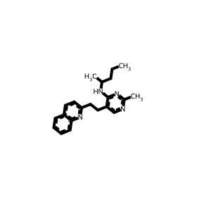 CCCC(C)Nc1nc(C)ncc1CCc1ccc2ccccc2n1